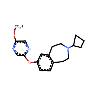 O=C(O)Oc1cnc(Oc2ccc3c(c2)CCN(C2CCC2)CC3)cn1